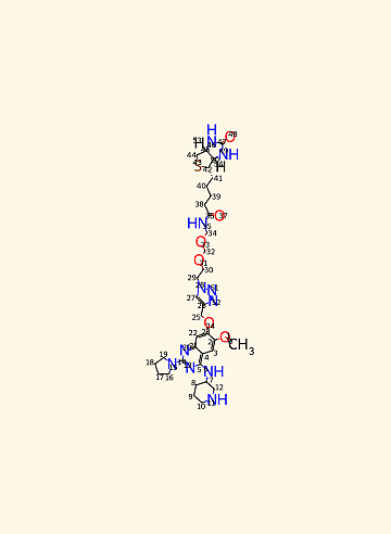 COc1cc2c(N[C@@H]3CCCNC3)nc(N3CCCC3)nc2cc1OCc1cn(CCOCOCNC(=O)CCCC[C@@H]2SC[C@@H]3NC(=O)N[C@@H]32)nn1